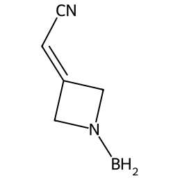 BN1CC(=CC#N)C1